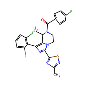 Cc1nsc(-c2nc(-c3c(F)cccc3F)c3n2CCN(C(=O)c2ccc(F)cc2)C3C)n1